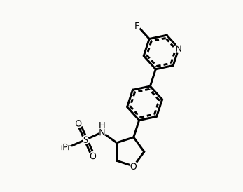 CC(C)S(=O)(=O)NC1COCC1c1ccc(-c2cncc(F)c2)cc1